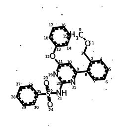 COCc1ccccc1-c1cc(Oc2ccccc2)nc(NS(=O)(=O)c2ccccc2)n1